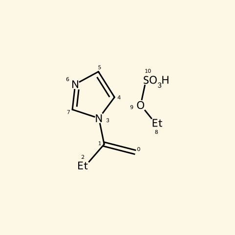 C=C(CC)n1ccnc1.CCOS(=O)(=O)O